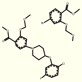 COCOc1cc(Br)ccc1C(=O)OC.COCOc1cc(N2CCC(Oc3cc(F)ccc3Cl)CC2)ccc1C(=O)OC